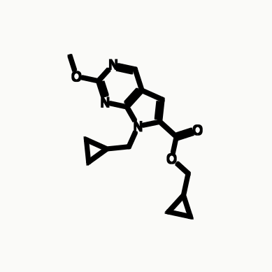 COc1ncc2cc(C(=O)OCC3CC3)n(CC3CC3)c2n1